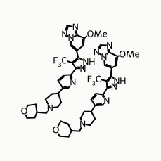 COc1cc(-c2[nH]nc(-c3ccc(C4CCN(CC5CCOCC5)CC4)cn3)c2C(F)(F)F)cn2ncnc12.COc1cc(-c2[nH]nc(-c3ccc(C4CCN(CC5CCOCC5)CC4)cn3)c2C(F)(F)F)cn2ncnc12